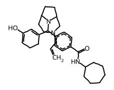 C=CCN1CCC2CCC(C1)N2C(C1=CC(O)=CCC1)c1ccc(C(=O)NC2CCCCCC2)cc1